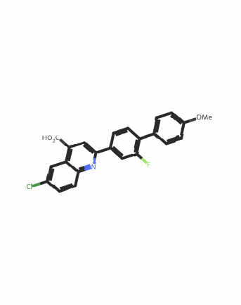 COc1ccc(-c2ccc(-c3cc(C(=O)O)c4cc(Cl)ccc4n3)cc2F)cc1